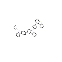 c1ccc(Nc2ccccc2-c2ccc(-c3ccc4c(c3)c3ccccc3n4-c3ccc(-c4cccc5sc6ccccc6c45)cc3)cc2)cc1